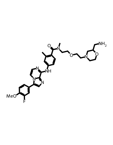 COc1ccc(-c2cnc3c(Nc4ccc(C(=O)N(C)CCOCCN5CCOC(CN)C5)c(C)c4)nccn23)cc1F